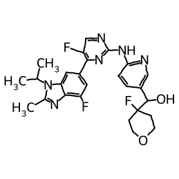 Cc1nc2c(F)cc(-c3nc(Nc4ccc(C(O)C5(F)CCOCC5)cn4)ncc3F)cc2n1C(C)C